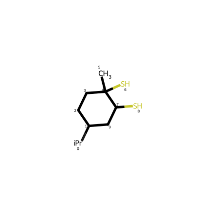 CC(C)C1CCC(C)(S)C(S)C1